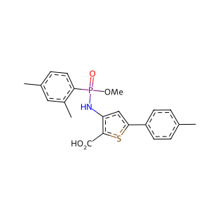 COP(=O)(Nc1cc(-c2ccc(C)cc2)sc1C(=O)O)c1ccc(C)cc1C